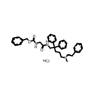 CN(CCCC(CNC(=O)CNC(=O)OCc1ccccc1)(c1ccccc1)c1ccccc1)CCc1ccccc1.Cl